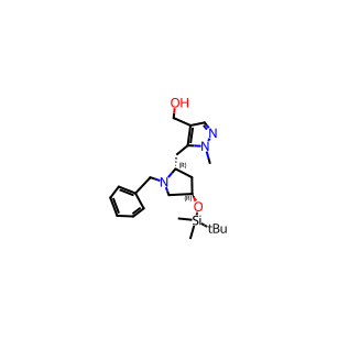 Cn1ncc(CO)c1C[C@@H]1C[C@@H](O[Si](C)(C)C(C)(C)C)CN1Cc1ccccc1